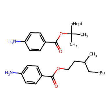 CC(CCOC(=O)c1ccc(N)cc1)CC(C)(C)C.CCCCCCCC(C)(C)OC(=O)c1ccc(N)cc1